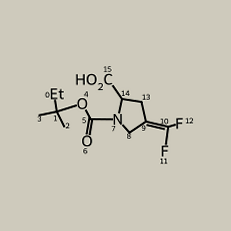 CCC(C)(C)OC(=O)N1CC(=C(F)F)CC1C(=O)O